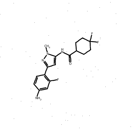 Cn1nc(-c2ccc(N)cc2F)cc1NC(=O)C1CCC(F)(F)CC1